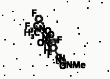 CNC(=O)Cn1cc(-c2cc3c(cc2F)[C@@]2(C[C@@H]3F)NC(=O)N(CC(=O)N(Cc3ccc(F)cc3)[C@@H](C)C(F)(F)F)C2=O)cn1